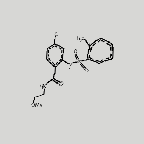 COCCNC(=O)c1ccc(Cl)cc1NS(=O)(=O)c1ccccc1C